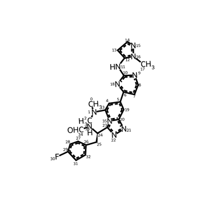 CN(C)c1cc(-c2ccnc(Nc3ccnn3C)n2)cc2nnc([C@@H](Cc3ccc(F)cc3)NC=O)n12